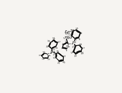 CC(C)(C)c1ccc[c-]1P(c1ccccc1)c1ccccc1.[Fe+2].c1ccc(P(c2ccccc2)[c-]2cccc2)cc1